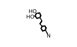 N#Cc1ccc(/C=C/c2ccc(O)c(O)c2)cc1